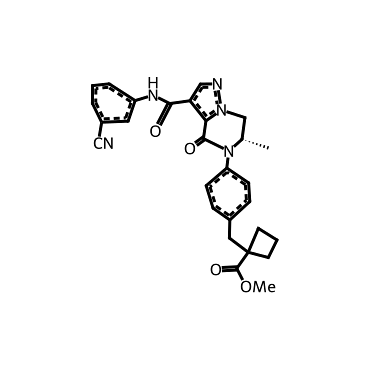 COC(=O)C1(Cc2ccc(N3C(=O)c4c(C(=O)Nc5cccc(C#N)c5)cnn4C[C@@H]3C)cc2)CCC1